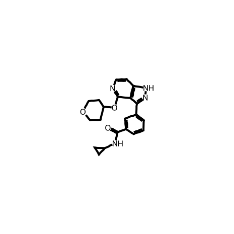 O=C(NC1CC1)c1cccc(-c2n[nH]c3ccnc(OC4CCOCC4)c23)c1